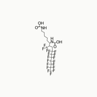 O=C(O)NCCCCCC(NC(=O)O)C(CC(F)(F)C(F)(F)C(F)(F)C(F)(F)C(F)(F)C(F)(F)C(F)(F)F)C(F)(F)F